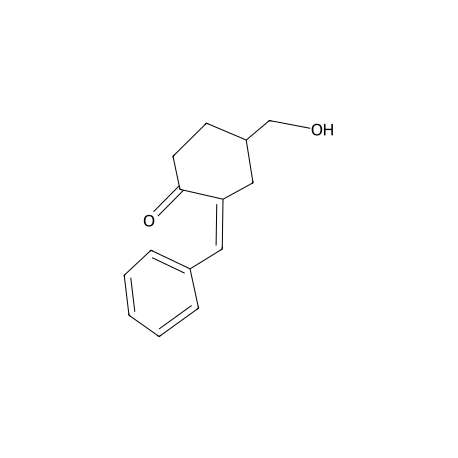 O=C1CCC(CO)CC1=Cc1ccccc1